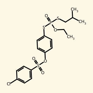 CCOP(=O)(SCC(C)C)Sc1ccc(OS(=O)(=O)c2ccc(Cl)cc2)cc1